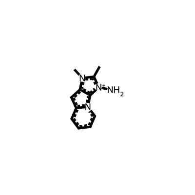 Cc1n(C)c2cc3ccccn3c2[n+]1N